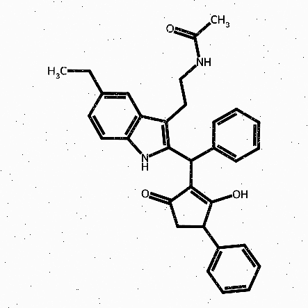 CCc1ccc2[nH]c(C(C3=C(O)C(c4ccccc4)CC3=O)c3ccccc3)c(CCNC(C)=O)c2c1